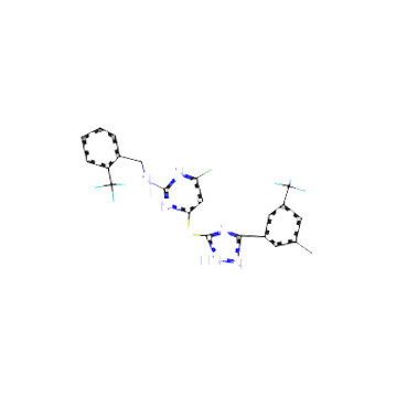 Cc1cc(-c2n[nH]c(Sc3cc(Cl)nc(NCc4ccccc4C(F)(F)F)n3)n2)cc(C(F)(F)F)c1